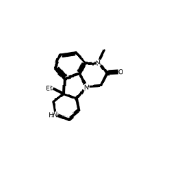 CCC12CNCCC1N1CC(=O)N(C)c3cccc2c31